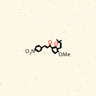 COc1ccc(C(=O)C=Cc2ccc([N+](=O)[O-])cc2)c2c1C=CC(C)(C)O2